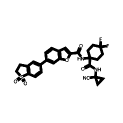 N#CC1(NC(=O)C2(NC(=O)c3cc4ccc(-c5ccc6c(c5)CCS6(=O)=O)cc4o3)CCC(F)(F)CC2)CC1